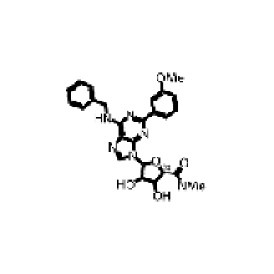 CNC(=O)[C@@H]1OC(n2cnc3c(NCc4ccccc4)nc(-c4cccc(OC)c4)nc32)C(O)C1O